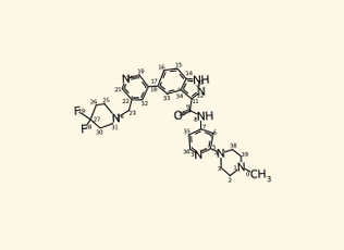 CN1CCN(c2cc(NC(=O)c3n[nH]c4ccc(-c5cncc(CN6CCC(F)(F)CC6)c5)cc34)ccn2)CC1